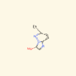 CCc1ccc2ncc(O)n2n1